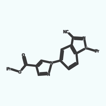 CC(C)OC(=O)c1cnn(-c2ccc3c(c2)c(C#N)nn3C(C)C)c1